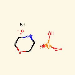 C1COCCN1.O.O=[PH](O)O.[KH]